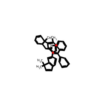 Cc1ccc(-c2ccc3c(c2)C(C)(C)C=C3)cc1C1(C)C=CC=CC1Cc1nc(-c2ccccc2)c2ccccc2n1